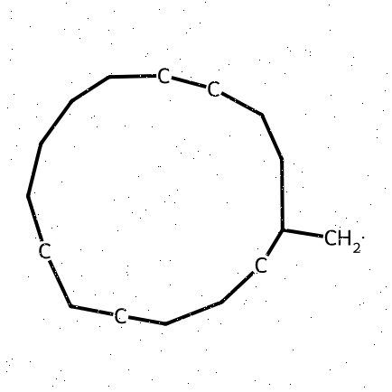 [CH2]C1CCCCCCCCCCCCCC1